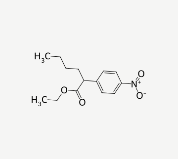 CCCCC(C(=O)OCC)c1ccc([N+](=O)[O-])cc1